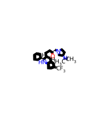 CN(C)C1CCN(C[C@H]2CC[C@@H]3[C@H](O2)c2cc(C(F)(F)F)ccc2N[C@H]3C2C=CC=CC2)C1